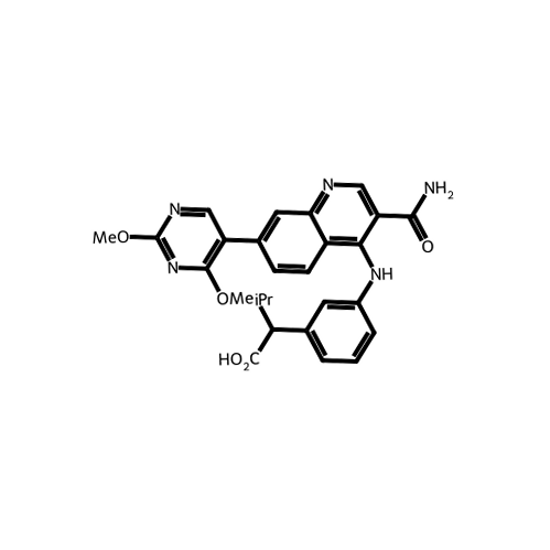 COc1ncc(-c2ccc3c(Nc4cccc(C(C(=O)O)C(C)C)c4)c(C(N)=O)cnc3c2)c(OC)n1